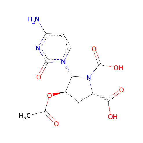 CC(=O)O[C@@H]1C[C@@H](C(=O)O)N(C(=O)O)[C@H]1n1ccc(N)nc1=O